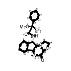 CO[C@@](C(=O)N[C@H]1c2ccccc2-c2[nH]c(=O)c3nccn3c21)(c1ccccc1)C(F)(F)F